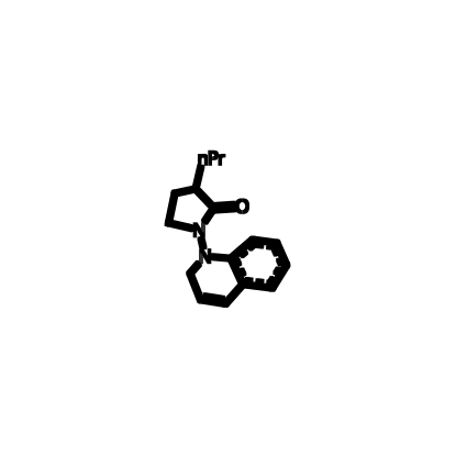 CCCC1CCN(N2CC=Cc3ccccc32)C1=O